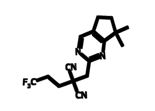 CC1(C)CCc2cnc(CC(C#N)(C#N)CCC(F)(F)F)nc21